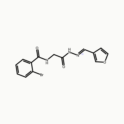 O=C(CNC(=O)c1ccccc1Br)N/N=C/c1ccoc1